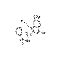 CC(C)CCn1c(=O)cc(O)c2ccc(C(=O)O)cc21.O=S1(=O)NC=Nc2ccccc21